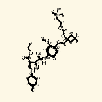 CCOC(=O)c1cn(-c2ccc(Cl)cc2)nc1C(=O)Nc1ccc(OCC2(OCOCC[Si](C)(C)C)CC(F)(F)C2)c(OC)c1